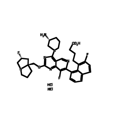 Cl.Cl.N[C@@H]1CCCN(c2nc(OC[C@@]34CCCN3C[C@H](F)C4)nc3c(F)c(-c4cccc5ccc(F)c(CCCC(=O)O)c45)ncc23)C1